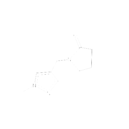 C[C@H]1CC(=O)N(Cc2cnn(C)c2)C1